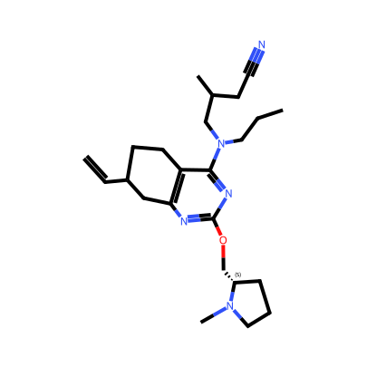 C=CC1CCc2c(nc(OC[C@@H]3CCCN3C)nc2N(CCC)CC(C)CC#N)C1